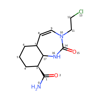 NC(=O)[C@H]1CCCC2C=CN(CCCl)C(=O)NC21